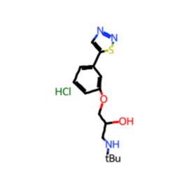 CC(C)(C)NCC(O)COc1cccc(-c2cnns2)c1.Cl